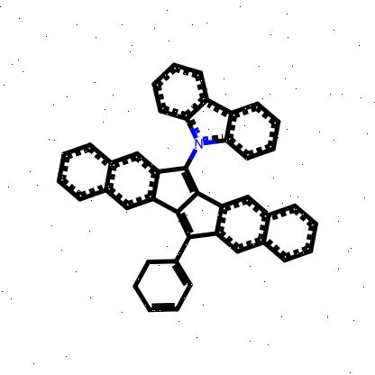 C1=CCCC(C2=C3C(=C(n4c5ccccc5c5ccccc54)c4cc5ccccc5cc43)c3cc4ccccc4cc32)=C1